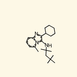 Cc1cccc2nc(C3CCCCC3)c(NC(C)(C)CC(C)(C)C)n12